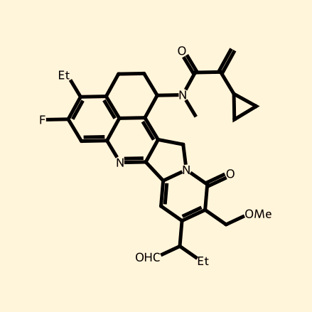 C=C(C(=O)N(C)C1CCc2c(CC)c(F)cc3nc4c(c1c23)Cn1c-4cc(C(C=O)CC)c(COC)c1=O)C1CC1